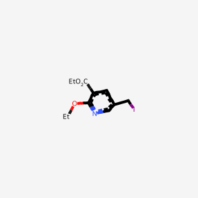 CCOC(=O)c1cc(CI)cnc1OCC